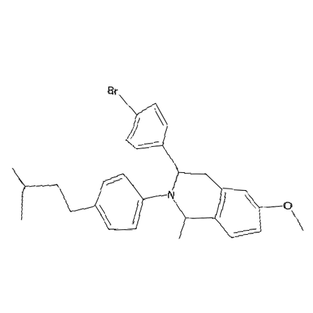 COc1ccc2c(c1)CC(c1ccc(Br)cc1)N(c1ccc(CCC(C)C)cc1)C2C